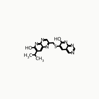 CC(C)c1cc2nc(CSc3cc4cncnc4nc3O)cnc2nc1O